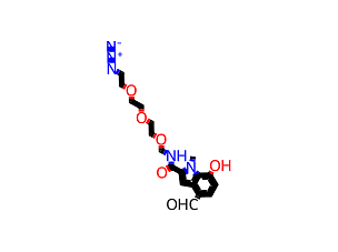 Cn1c(C(=O)NCOCCOCCOCCN=[N+]=[N-])cc2c(C=O)ccc(O)c21